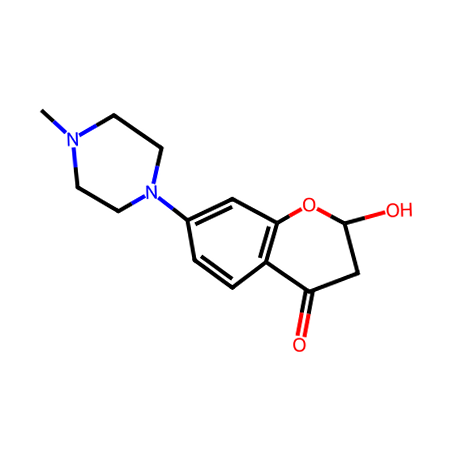 CN1CCN(c2ccc3c(c2)OC(O)CC3=O)CC1